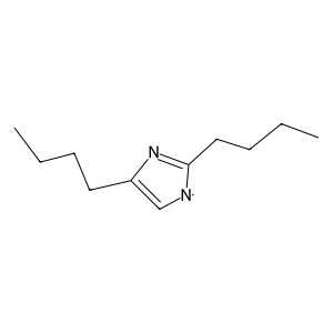 CCCCC1=C[N]C(CCCC)=N1